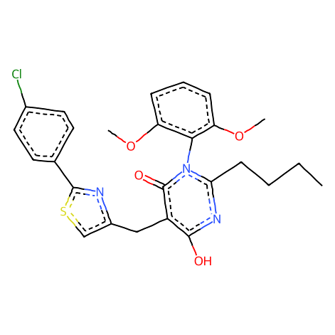 CCCCc1nc(O)c(Cc2csc(-c3ccc(Cl)cc3)n2)c(=O)n1-c1c(OC)cccc1OC